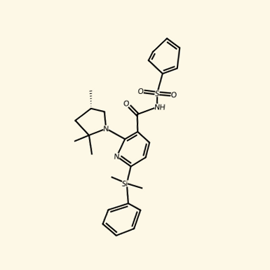 C[C@@H]1CN(c2nc([Si](C)(C)c3ccccc3)ccc2C(=O)NS(=O)(=O)c2ccccc2)C(C)(C)C1